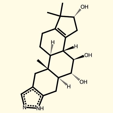 CC1(C)C2=C(C[C@H]1O)[C@@H]1[C@@H](O)[C@H](O)[C@H]3Cc4[nH]ncc4C[C@]3(C)[C@H]1CC2